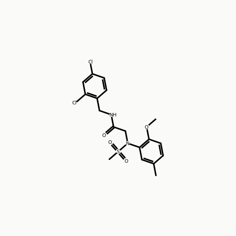 COc1ccc(C)cc1N(CC(=O)NCc1ccc(Cl)cc1Cl)S(C)(=O)=O